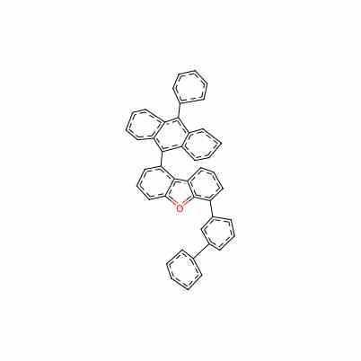 c1ccc(-c2cccc(-c3cccc4c3oc3cccc(-c5c6ccccc6c(-c6ccccc6)c6ccccc56)c34)c2)cc1